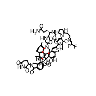 CC(C)(C)c1ccc(C[C@H](NC(=O)[C@H](CCC(N)=O)NC(=O)[C@@H]2CC[C@@H]3CCN(CC(F)F)C[C@H](NC(=O)c4cc5cc(C(F)(F)P(=O)(O)O)ccc5s4)C(=O)N32)C(=O)N2CCC(CNc3cccc4c3CN(C3CCC(=O)NC3=O)C4=O)CC2)cc1